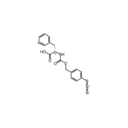 [N-]=[N+]=Nc1ccc(COC(=O)N[C@@H](Cc2cccnc2)C(=O)O)cc1